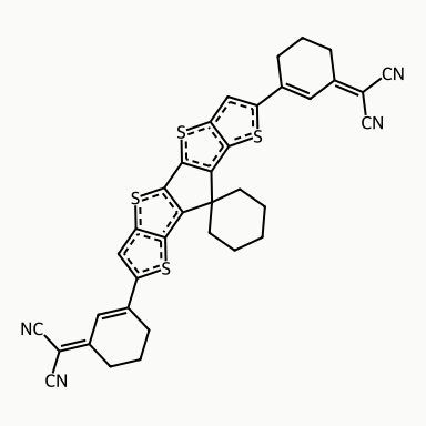 N#CC(C#N)=C1C=C(c2cc3sc4c(c3s2)C2(CCCCC2)c2c-4sc3cc(C4=CC(=C(C#N)C#N)CCC4)sc23)CCC1